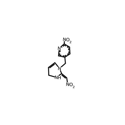 O=[N+]([O-])C=C1NCC=CN1Cc1ccc([N+](=O)[O-])nc1